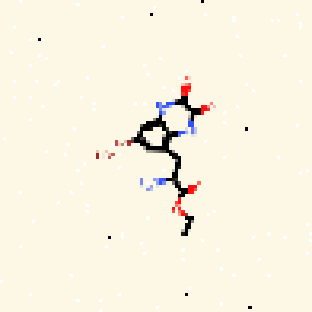 Br.CCOC(=O)C(N)Cc1cc(Br)cc2[nH]c(=O)c(=O)[nH]c12